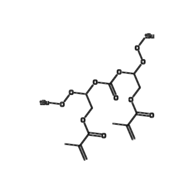 C=C(C)C(=O)OCC(OOC(C)(C)C)OC(=O)OC(COC(=O)C(=C)C)OOC(C)(C)C